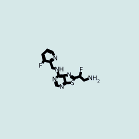 NCC(F)c1nc2c(NCc3ncccc3F)ncnc2s1